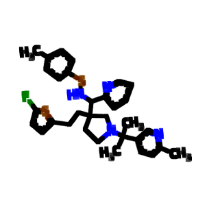 Cc1ccc(SNC(c2ccccn2)C2(CCc3ccc(F)s3)CCN(C(C)(C)c3ccc(C)nc3)C2)cc1